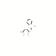 CC/C(C)=C\c1c(CC)nc2n(C)c3ccccc3n12